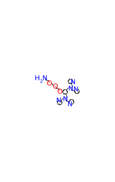 NCCOCCOCCOc1cc(CN(Cc2ccccn2)Cc2ccccn2)cc(CN(Cc2ccccn2)Cc2ccccn2)c1